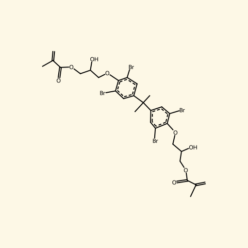 C=C(C)C(=O)OCC(O)COc1c(Br)cc(C(C)(C)c2cc(Br)c(OCC(O)COC(=O)C(=C)C)c(Br)c2)cc1Br